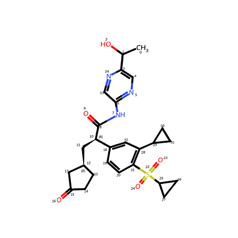 CC(O)c1cnc(NC(=O)[C@H](C[C@H]2CCC(=O)C2)c2ccc(S(=O)(=O)C3CC3)c(C3CC3)c2)cn1